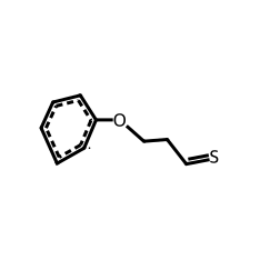 S=CCCOc1[c]cccc1